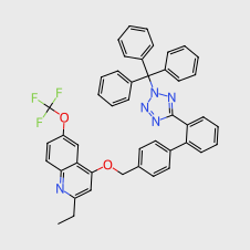 CCc1cc(OCc2ccc(-c3ccccc3-c3nnn(C(c4ccccc4)(c4ccccc4)c4ccccc4)n3)cc2)c2cc(OC(F)(F)F)ccc2n1